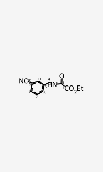 CCOC(=O)C(=O)NCc1cccc(C#N)c1